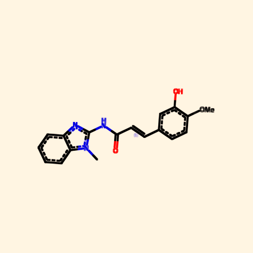 COc1ccc(/C=C/C(=O)Nc2nc3ccccc3n2C)cc1O